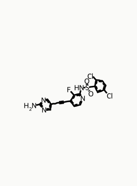 Nc1ncc(C#Cc2ccnc(NS(=O)(=O)c3cc(Cl)ccc3Cl)c2F)cn1